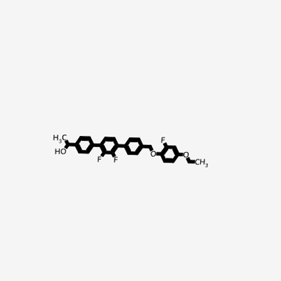 CCOc1ccc(OCc2ccc(-c3ccc(-c4ccc(C(C)O)cc4)c(F)c3F)cc2)c(F)c1